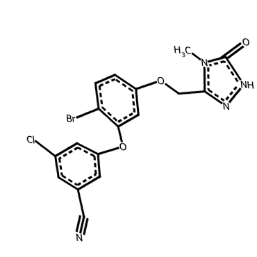 Cn1c(COc2ccc(Br)c(Oc3cc(Cl)cc(C#N)c3)c2)n[nH]c1=O